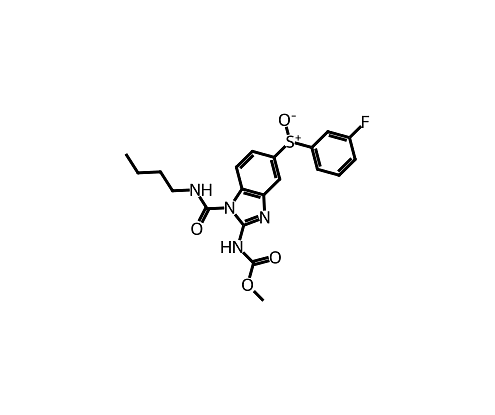 CCCCNC(=O)n1c(NC(=O)OC)nc2cc([S+]([O-])c3cccc(F)c3)ccc21